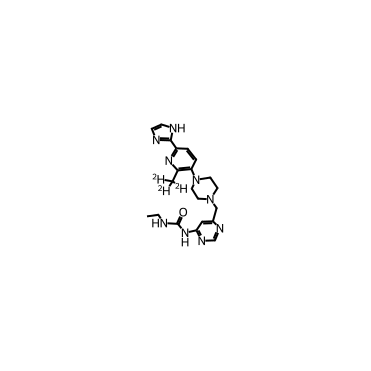 [2H]C([2H])([2H])c1nc(-c2ncc[nH]2)ccc1N1CCN(Cc2cc(NC(=O)NCC)ncn2)CC1